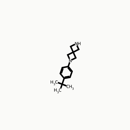 CC(C)(C)c1ccc(N2CC3(CNC3)C2)cc1